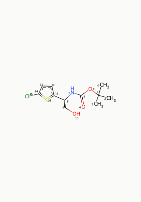 CC(C)(C)OC(=O)N[C@@H](CO)c1ccc(Cl)s1